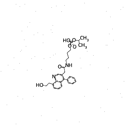 CC(C)OP(=O)(O)OCCCCNC(=O)Cc1cnc2c(CCO)cccc2c1-c1ccccc1